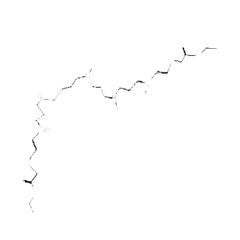 CCOC(=O)CSCCNCCCN(C)CCCCN(C)CCCN(C)CCCNCCSCC(=O)OCC